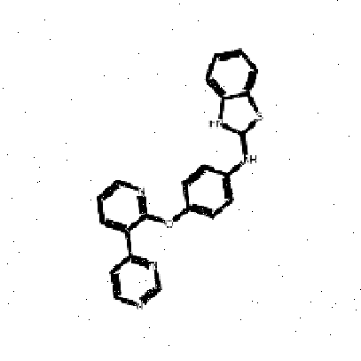 c1ccc2c(c1)NC(Nc1ccc(Oc3ncccc3-c3ccncn3)cc1)S2